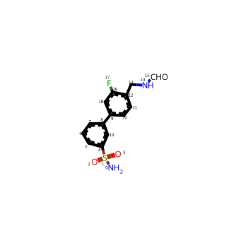 NS(=O)(=O)c1cccc(-c2ccc(CNC=O)c(F)c2)c1